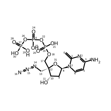 C=C1N=C(N)C=CN1[C@H]1C[C@H](O)[C@@](CN=[N+]=[N-])(COP(=O)(O)OP(=O)(O)OP(=O)(O)O)O1